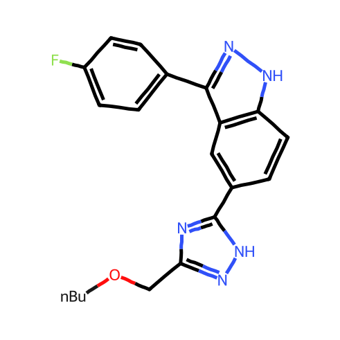 CCCCOCc1n[nH]c(-c2ccc3[nH]nc(-c4ccc(F)cc4)c3c2)n1